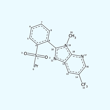 CC(C)S(=O)(=O)c1ccccc1-c1nc2cc(C(F)(F)F)cnc2n1C